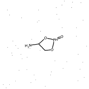 NC1CO[PH](=O)O1